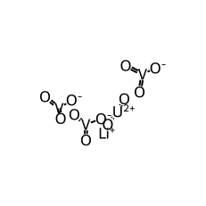 [Li+].[O]=[U+2]=[O].[O]=[V](=[O])[O-].[O]=[V](=[O])[O-].[O]=[V](=[O])[O-]